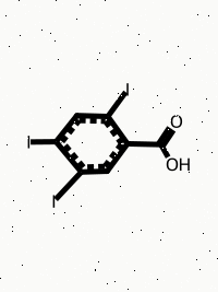 O=C(O)c1cc(I)c(I)cc1I